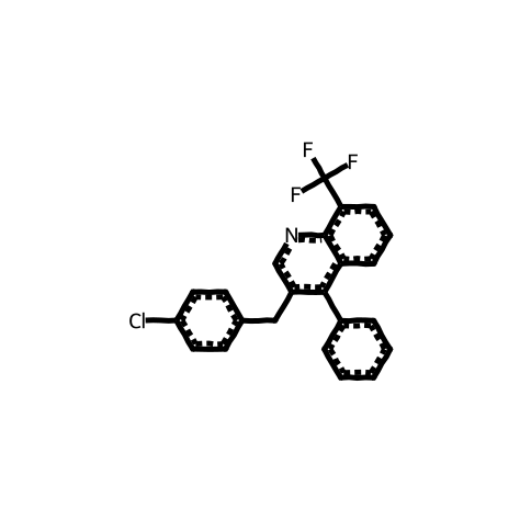 FC(F)(F)c1cccc2c(-c3ccccc3)c(Cc3ccc(Cl)cc3)cnc12